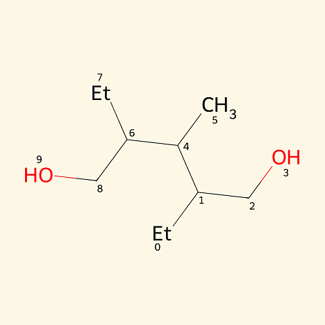 CCC(CO)C(C)C(CC)CO